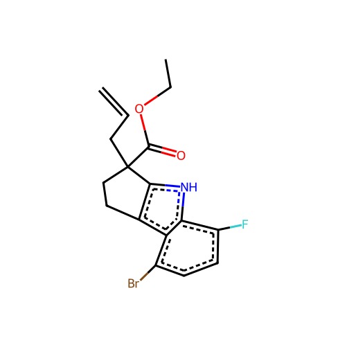 C=CCC1(C(=O)OCC)CCc2c1[nH]c1c(F)ccc(Br)c21